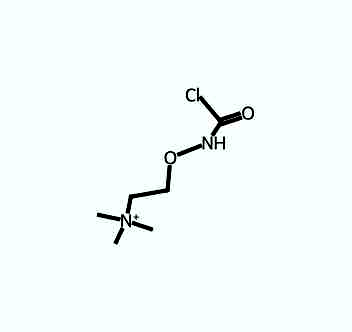 C[N+](C)(C)CCONC(=O)Cl